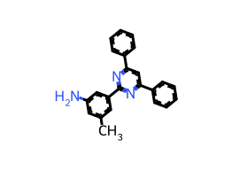 Cc1cc(N)cc(-c2nc(-c3ccccc3)cc(-c3ccccc3)n2)c1